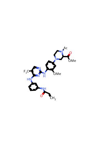 C=CC(=O)Nc1cccc(Nc2nc(Nc3ccc(N4CCN(C(C)=O)C(C(=O)OC)C4)cc3OC)ncc2C(F)(F)F)c1